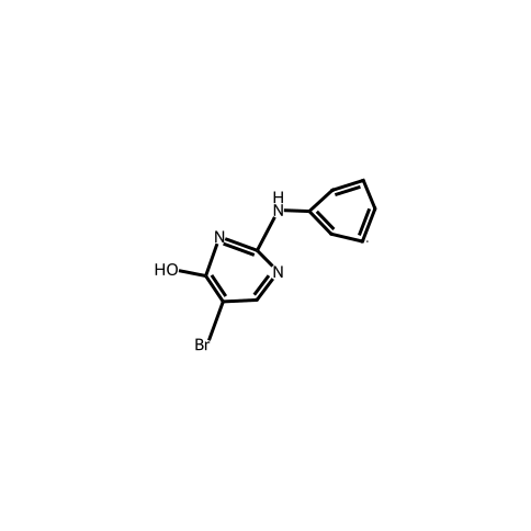 Oc1nc(Nc2c[c]ccc2)ncc1Br